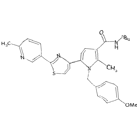 CCCCNC(=O)c1cc(-c2csc(-c3ccc(C)nc3)n2)n(Cc2ccc(OC)cc2)c1C